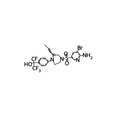 CC#C[C@H]1CN(S(=O)(=O)c2cnc(N)c(Br)c2)CCN1c1ccc(C(O)(C(F)(F)F)C(F)(F)F)cc1